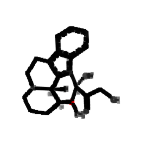 CC[C@]12CCCN3CCc4c(n(c5ccccc45)[C@@](O)(C(=O)CO)C1)[C@@H]32